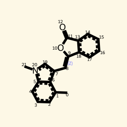 Cc1cccc2c1c(/C=C1\OC(=O)c3ccccc31)cn2C